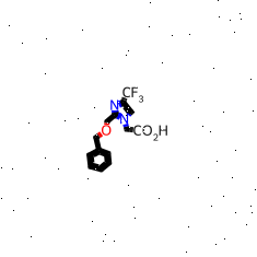 O=C(O)Cn1cc(C(F)(F)F)nc1COCc1ccccc1